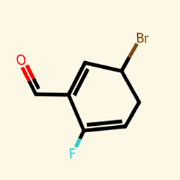 O=CC1=CC(Br)CC=C1F